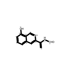 C=C(NC=O)c1cc2cccc(O)c2cn1